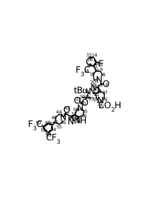 CC(C)(C)C(n1nc(C(=O)N2CCC(c3c(F)cccc3C(F)(F)F)CC2)c2c1CN(C(=O)O)CC2)C(C)(C)OC(=O)N1CCc2[nH]nc(C(=O)N3CCC(c4cc(C(F)(F)F)cc(C(F)(F)F)c4)CC3)c2C1